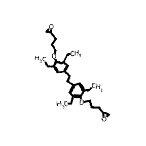 CCc1cc(CCc2cc(CC)c(OCCCC3CO3)c(CC)c2)cc(CC)c1OCCCC1CO1